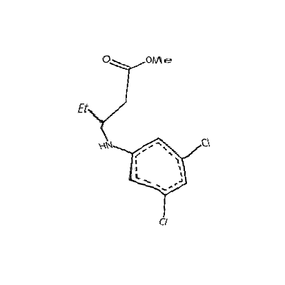 CCC(CC(=O)OC)Nc1cc(Cl)cc(Cl)c1